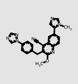 COc1nc2ccc(-c3cncn3C)cc2c(C#N)c1Cc1ccc(-n2cncn2)cc1